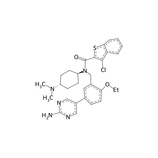 CCOc1ccc(-c2cnc(N)nc2)cc1CN(C(=O)c1sc2ccccc2c1Cl)[C@H]1CC[C@H](N(C)C)CC1